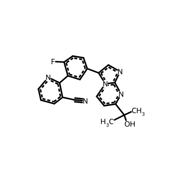 CC(C)(O)c1ccn2c(-c3ccc(F)c(-c4ncccc4C#N)c3)cnc2n1